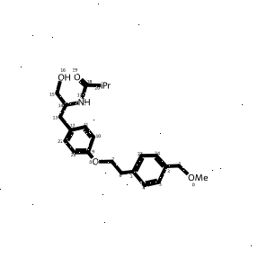 COCc1ccc(CCOc2ccc(CC(CO)NC(=O)C(C)C)cc2)cc1